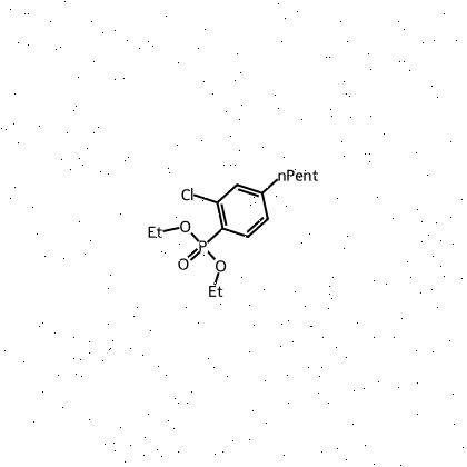 CCCCCc1ccc(P(=O)(OCC)OCC)c(Cl)c1